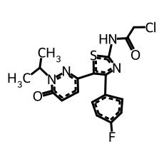 CC(C)n1nc(-c2sc(NC(=O)CCl)nc2-c2ccc(F)cc2)ccc1=O